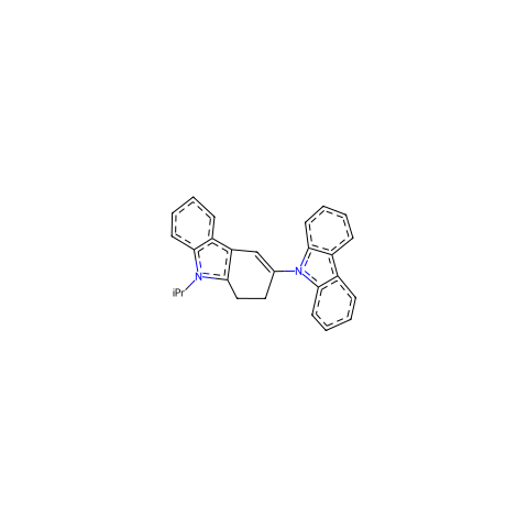 CC(C)n1c2c(c3ccccc31)C=C(n1c3ccccc3c3ccccc31)CC2